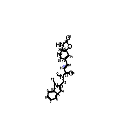 CN(Cc1cc2ccccc2n1C)C(=O)/C=C/c1cnc2[nH]c(=O)oc2c1